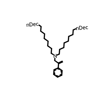 C=C(CN(CCCCCCCCCCCCCCCCCC)CCCCCCCCCCCCCCCCCC)c1ccccc1